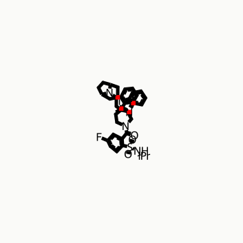 Cc1nc2ccccc2n1C1CC2CCC(C1)N2CCC1(c2ccccc2)CCN(C(=O)c2cc(F)ccc2S(=O)(=O)NC(C)C)CC1